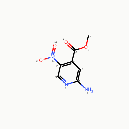 COC(=O)c1cc(N)ncc1[N+](=O)[O-]